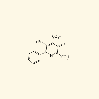 CCCCc1c(C(=O)O)c(=O)c(C(=O)O)nn1-c1ccccc1